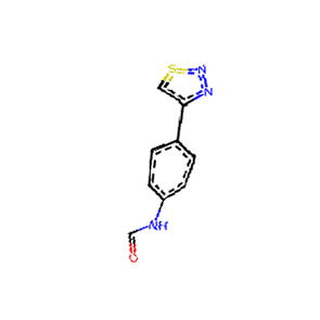 O=CNc1ccc(-c2csnn2)cc1